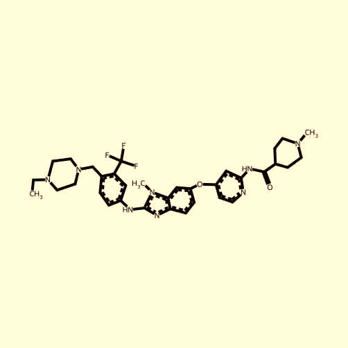 CCN1CCN(Cc2ccc(Nc3nc4ccc(Oc5ccnc(NC(=O)C6CCN(C)CC6)c5)cc4n3C)cc2C(F)(F)F)CC1